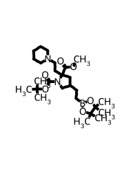 COC(=O)C1(CCN2CCCCC2)CC(CCB2OC(C)(C)C(C)(C)O2)CN1C(=O)OC(C)(C)C